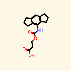 O=C(O)CCOC(=O)Nc1c2c(cc3c1CCC3)CCC2